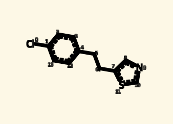 Clc1ccc(C[CH]c2cncs2)cc1